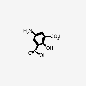 Nc1cc(C(=O)O)c(O)c(S(=O)O)c1